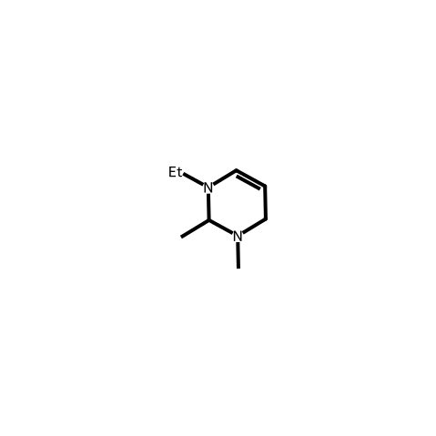 CCN1C=CCN(C)C1C